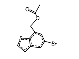 CC(=O)OCc1cc(Br)cc2ccsc12